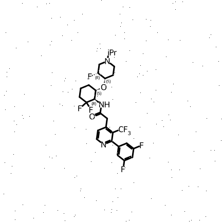 CC(C)N1CC[C@H](O[C@H]2CCCC(F)(F)[C@@H]2NC(=O)Cc2ccnc(-c3cc(F)cc(F)c3)c2C(F)(F)F)[C@H](F)C1